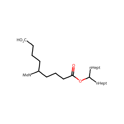 CCCCCCCC(CCCCCCC)OC(=O)CCCC(CCCC(=O)O)NC